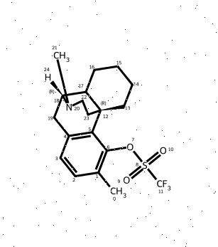 Cc1ccc2c(c1OS(=O)(=O)C(F)(F)F)[C@@]13CCCCC1[C@@H](C2)N(C)CC3